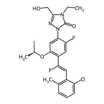 CCn1c(CO)nn(-c2cc(O[C@@H](C)I)c(/C(F)=C/c3c(C)cccc3Cl)cc2F)c1=O